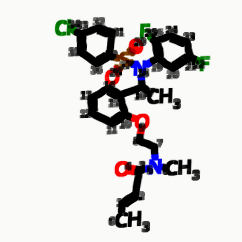 CC=CC(=O)N(C)CCOc1ccccc1C(C)N(c1cc(F)ccc1F)S(=O)(=O)c1ccc(Cl)cc1